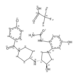 NC(=O)Nc1ccc(O)cc1N1C[C@@H](O)[C@H](NC2CCN(C(=O)c3ccc(Cl)cc3)CC2)C1.O=C(O)C(F)(F)F